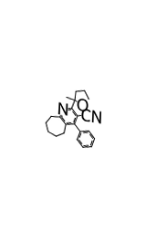 CC1(c2nc3c(c(-c4ccccc4)c2C#N)CCCCC3)CCCO1